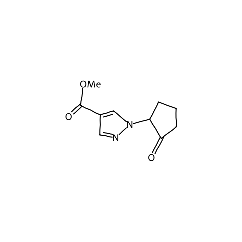 COC(=O)c1cnn(C2CCCC2=O)c1